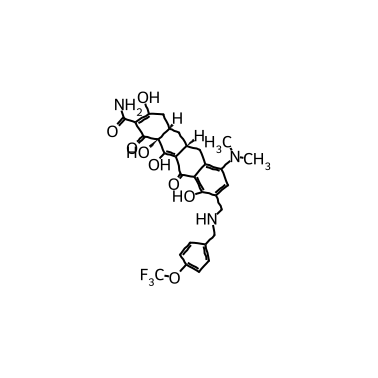 CN(C)c1cc(CNCc2ccc(OC(F)(F)F)cc2)c(O)c2c1C[C@H]1C[C@H]3CC(O)=C(C(N)=O)C(=O)[C@@]3(O)C(O)=C1C2=O